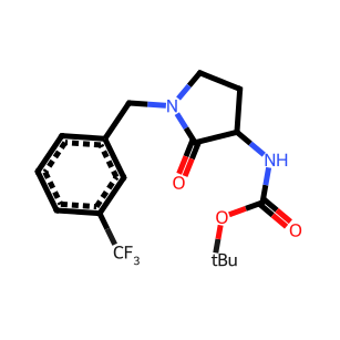 CC(C)(C)OC(=O)NC1CCN(Cc2cccc(C(F)(F)F)c2)C1=O